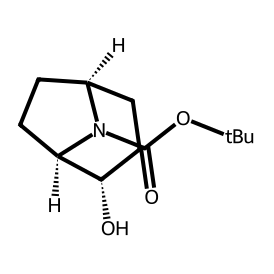 CC(C)(C)OC(=O)N1[C@H]2CC[C@@H]1[C@@H](O)CC2